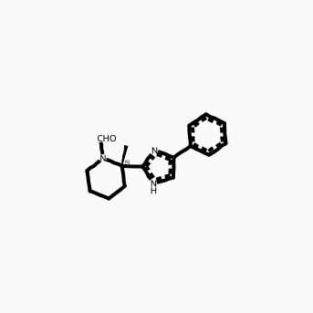 C[C@@]1(c2nc(-c3ccccc3)c[nH]2)CCCCN1C=O